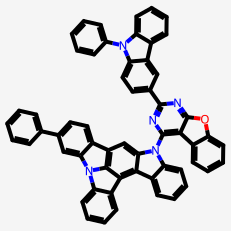 c1ccc(-c2ccc3c4cc5c(c6ccccc6n5-c5nc(-c6ccc7c(c6)c6ccccc6n7-c6ccccc6)nc6oc7ccccc7c56)c5c6ccccc6n(c3c2)c45)cc1